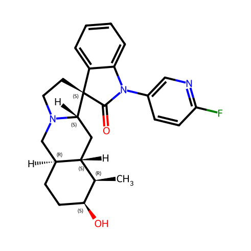 C[C@@H]1[C@H]2C[C@@H]3N(CC[C@@]34C(=O)N(c3ccc(F)nc3)c3ccccc34)C[C@@H]2CC[C@@H]1O